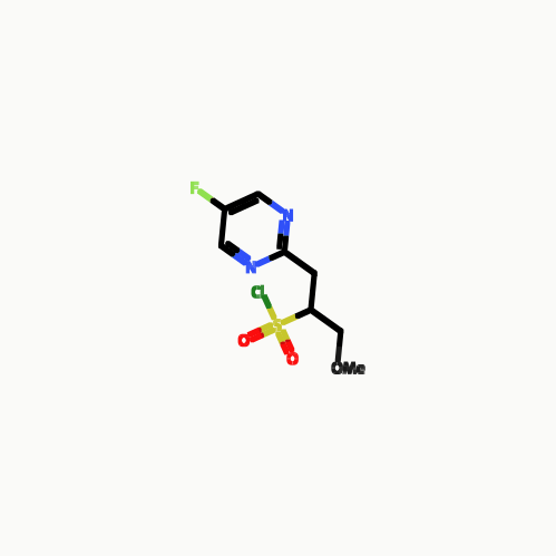 COCC(Cc1ncc(F)cn1)S(=O)(=O)Cl